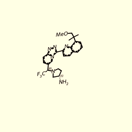 COCC(C)(C)c1cccc2ccc(-c3nnc4ccc([C@@H](N5CC[C@H](N)C5)C(F)(F)F)cn34)nc12